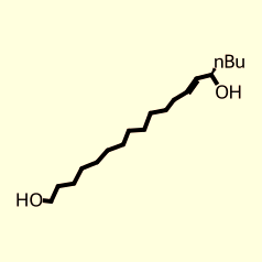 CCCC[C@@H](O)C=CCCCCCCCCCCCCO